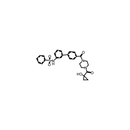 O=C(c1ccc(-c2cccc(NS(=O)(=O)c3ccccc3)c2)cc1)N1CCN(C(=O)C2(O)CC2)CC1